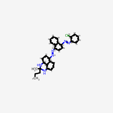 CCCC1(C)Nc2cccc3c(N=Nc4ccc(N=Nc5ccccc5Cl)c5ccccc45)ccc(c23)N1